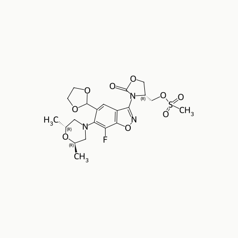 C[C@@H]1CN(c2c(C3OCCO3)cc3c(N4C(=O)OC[C@@H]4COS(C)(=O)=O)noc3c2F)C[C@@H](C)O1